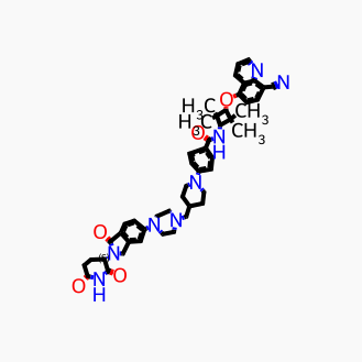 CC1(C)C(NC(=O)c2ccc(N3CCC(CN4CCN(c5ccc6c(c5)CN([C@H]5CCC(=O)NC5=O)C6=O)CC4)CC3)cc2)C(C)(C)C1Oc1ccc(C#N)c2ncccc12